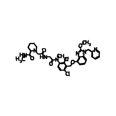 CNC(=O)C1CCCCN1CC(=O)NCC(=O)N(C)c1ccc(Cl)c(COc2cccc3c2nc(OC)n3Cc2ccccn2)c1Cl